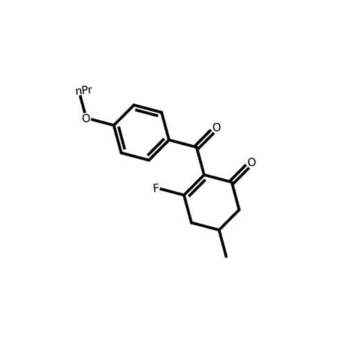 CCCOc1ccc(C(=O)C2=C(F)CC(C)CC2=O)cc1